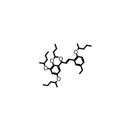 CCCC(C)Oc1cc(OC(C)CCC)c(OC(C)CCC)c(C(=O)C=Cc2cc(CC)ccc2OC(C)CCC)c1